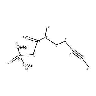 CC#CCCC(C)C(=O)CP(=O)(OC)OC